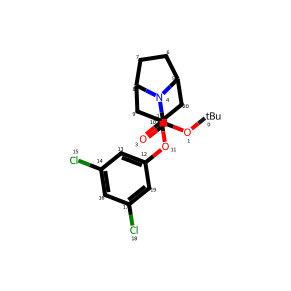 CC(C)(C)OC(=O)N1C2CCC1CC(Oc1cc(Cl)cc(Cl)c1)C2